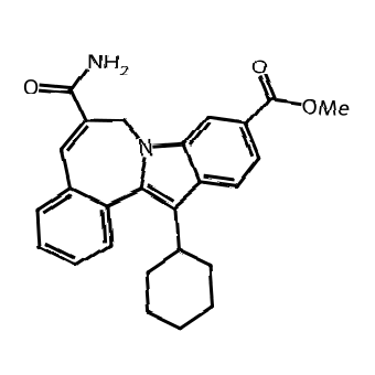 COC(=O)c1ccc2c(C3CCCCC3)c3n(c2c1)CC(C(N)=O)=Cc1ccccc1-3